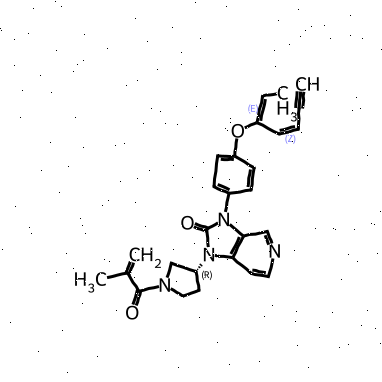 C#C/C=C\C(=C/C)Oc1ccc(-n2c(=O)n([C@@H]3CCN(C(=O)C(=C)C)C3)c3ccncc32)cc1